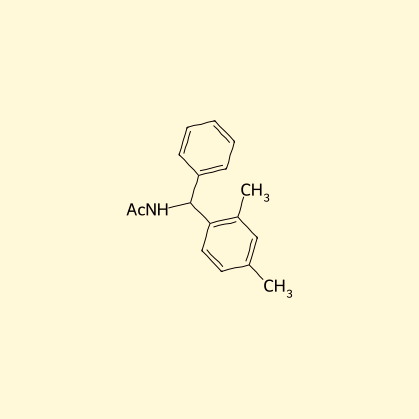 CC(=O)NC(c1ccccc1)c1ccc(C)cc1C